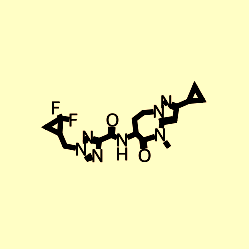 CN1C(=O)C(NC(=O)c2ncn(CC3CC3(F)F)n2)CCn2nc(C3CC3)cc21